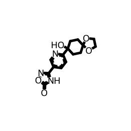 O=c1[nH]c(-c2ccc(C3(O)CCC4(CC3)OCCO4)nc2)no1